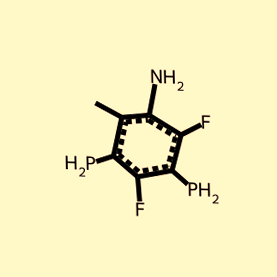 Cc1c(N)c(F)c(P)c(F)c1P